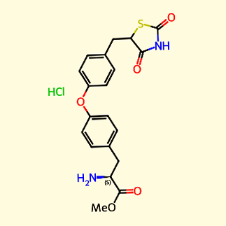 COC(=O)[C@@H](N)Cc1ccc(Oc2ccc(CC3SC(=O)NC3=O)cc2)cc1.Cl